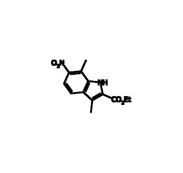 CCOC(=O)c1[nH]c2c(C)c([N+](=O)[O-])ccc2c1C